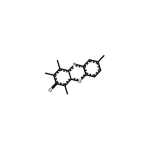 Cc1ccc2oc3c(C)c(=O)c(C)c(C)c-3nc2c1